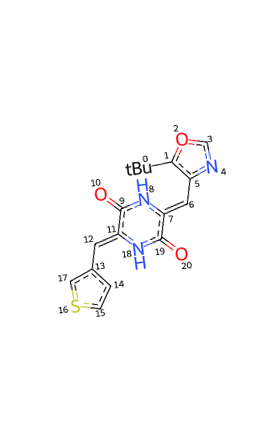 CC(C)(C)c1ocnc1C=c1[nH]c(=O)c(=Cc2ccsc2)[nH]c1=O